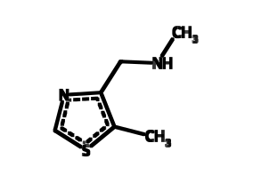 CNCc1ncsc1C